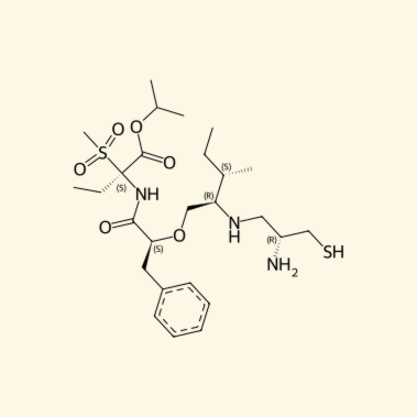 CC[C@H](C)[C@H](CO[C@@H](Cc1ccccc1)C(=O)N[C@](CC)(C(=O)OC(C)C)S(C)(=O)=O)NC[C@@H](N)CS